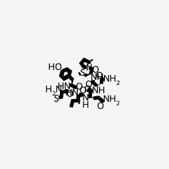 CC[C@H](C)[C@H](NC(=O)[C@H](Cc1ccc(O)cc1)NC(=O)[C@@H](N)CSC)C(=O)N[C@@H](CCC(N)=O)C(=O)N[C@@H](CC(N)=O)C(=O)N[C@@H](CSC)C(=O)N1CCC[C@H]1C